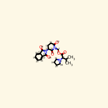 CC(C)C(C(=O)OCN1C(=O)CCC(N2C(=O)c3ccccc3C2=O)C1=O)N1CCCC1